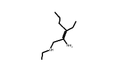 CCC/C(CC)=C(/N)CNCC